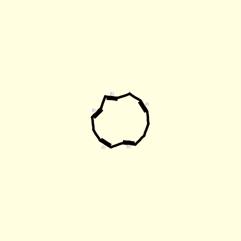 [CH]1/C=C\CC/C=C/C=C\C/C=C/C=C/1